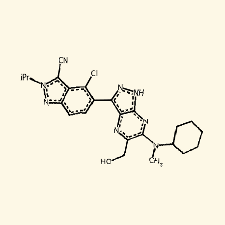 CC(C)n1nc2ccc(-c3n[nH]c4nc(N(C)C5CCCCC5)c(CO)nc34)c(Cl)c2c1C#N